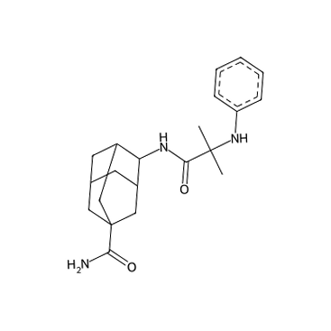 CC(C)(Nc1ccccc1)C(=O)NC1C2CC3CC1CC(C(N)=O)(C3)C2